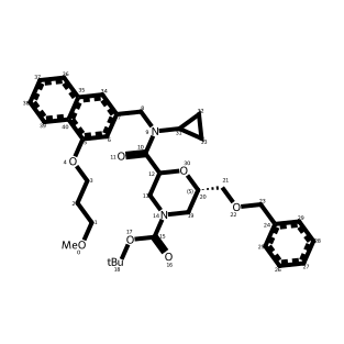 COCCCOc1cc(CN(C(=O)C2CN(C(=O)OC(C)(C)C)C[C@@H](COCc3ccccc3)O2)C2CC2)cc2ccccc12